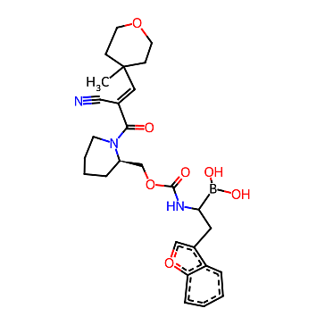 CC1(C=C(C#N)C(=O)N2CCCC[C@@H]2COC(=O)NC(Cc2coc3ccccc23)B(O)O)CCOCC1